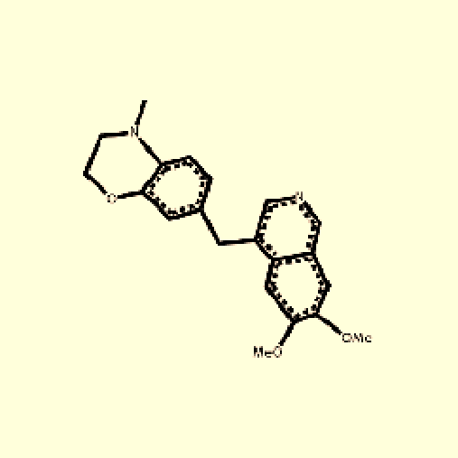 COc1cc2cncc(Cc3ccc4c(c3)OCCN4C)c2cc1OC